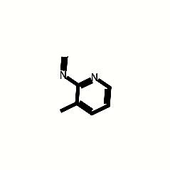 [CH]=Nc1ncccc1C